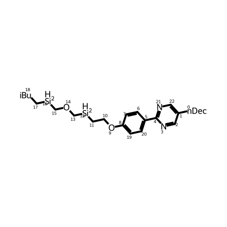 CCCCCCCCCCc1cnc(-c2ccc(OCC[SiH2]COC[SiH2]CC(C)CC)cc2)nc1